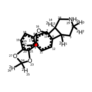 [2H]C1([2H])CC([2H])(c2ccc(F)cc2)[C@@]([2H])(COc2ccc3c(c2)OC([2H])([2H])O3)CN1